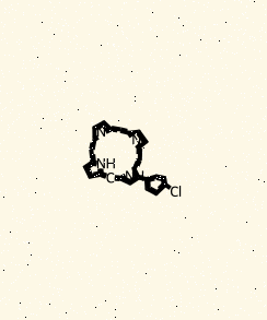 Clc1ccc(-c2cc3cc4ccc(cc5nc(cc6nc(cc2[nH]3)C=C6)C=C5)[nH]4)cc1